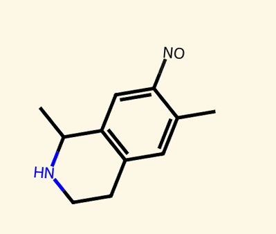 Cc1cc2c(cc1N=O)C(C)NCC2